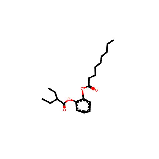 CCCCCCCCC(=O)Oc1ccccc1OC(=O)C(CC)CC